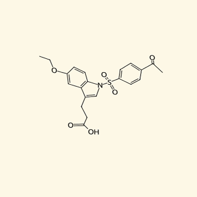 CCOc1ccc2c(c1)c(CCC(=O)O)cn2S(=O)(=O)c1ccc(C(C)=O)cc1